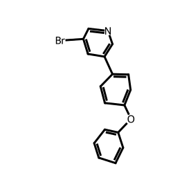 Brc1cncc(-c2ccc(Oc3ccccc3)cc2)c1